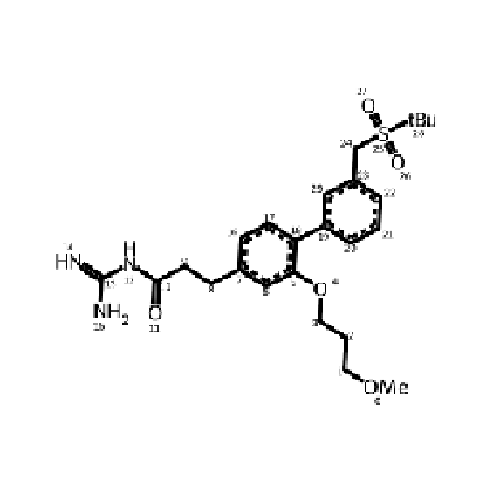 COCCCOc1cc(CCC(=O)NC(=N)N)ccc1-c1cccc(CS(=O)(=O)C(C)(C)C)c1